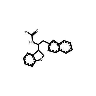 S=C(S)NC(Cc1ccc2ccccc2c1)C1COc2ccccc21